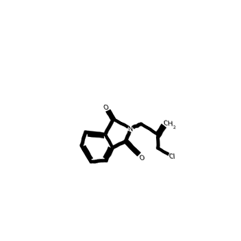 C=C(CCl)CN1C(=O)c2ccccc2C1=O